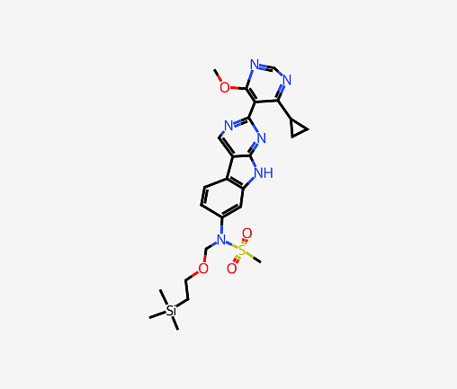 COc1ncnc(C2CC2)c1-c1ncc2c(n1)[nH]c1cc(N(COCC[Si](C)(C)C)S(C)(=O)=O)ccc12